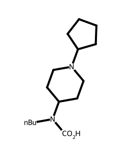 CCCCN(C(=O)O)C1CCN(C2CCCC2)CC1